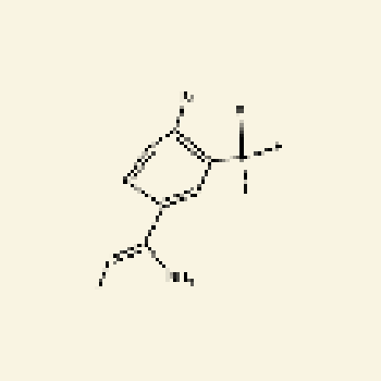 C/C=C(\N)c1ccc(Br)c(C(F)(F)F)c1